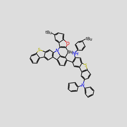 CC(C)(C)c1ccc(Nc2cc3sc4ccc(N(c5ccccc5)c5ccccc5)cc4c3cc2-c2ccc3c4cc5c(cc4n4c3c2Bc2oc3ccc(C(C)(C)C)cc3c2-4)sc2ccccc25)cc1